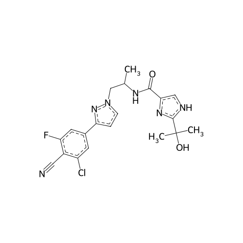 CC(Cn1ccc(-c2cc(F)c(C#N)c(Cl)c2)n1)NC(=O)c1c[nH]c(C(C)(C)O)n1